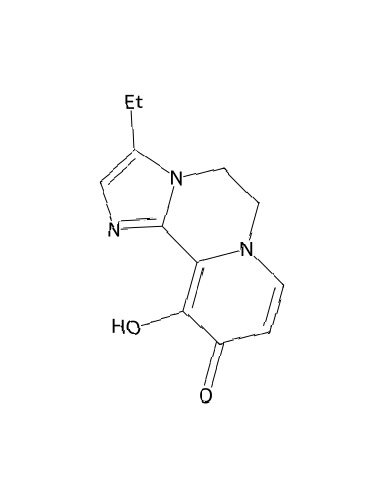 CCc1cnc2n1CCn1ccc(=O)c(O)c1-2